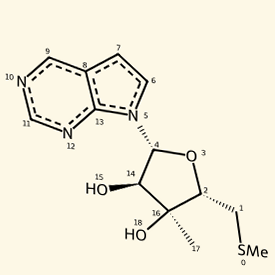 CSC[C@H]1O[C@@H](n2ccc3cncnc32)[C@H](O)[C@]1(C)O